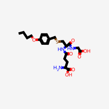 CCCCOc1ccc(CSCC(NC(=O)CCC(N)C(=O)O)C(=O)NCC(=O)O)cc1